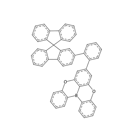 c1ccc2c(c1)Oc1cc(-c3ccccc3-c3ccc4c(c3)C3(c5ccccc5-c5ccccc53)c3ccccc3-4)cc3c1B2c1ccccc1O3